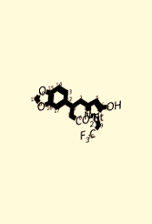 CCOC(=O)CC(Cc1cc(O)n(CC(F)(F)F)n1)c1ccc2c(c1)OCO2